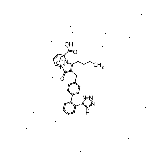 CCCCc1c(Cc2ccc(-c3ccccc3-c3nnn[nH]3)cc2)c(=O)n2n1C1(C(=O)O)C=CC2CC1